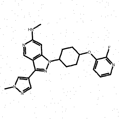 CNc1cc2c(cn1)c(-c1cnn(C)c1)nn2C1CCC(Oc2cccnc2F)CC1